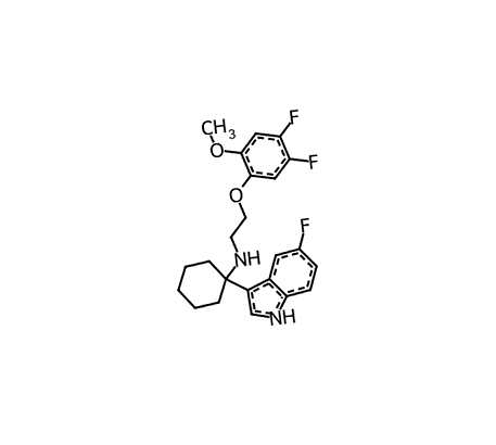 COc1cc(F)c(F)cc1OCCNC1(c2c[nH]c3ccc(F)cc23)CCCCC1